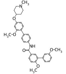 COc1cccc(-c2cc(C(=O)Nc3ccc(-c4ccc(OC5CCN(C)CC5)cc4OC)cc3)ccc2OC)c1